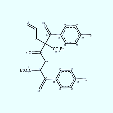 C=CCC(C(=O)CC(C(=O)OCC)C(=O)c1ccc(C)cc1)(C(=O)OCC)C(=O)c1ccc(C)cc1